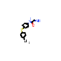 Cc1ccc(Sc2ccc(NC(=O)C=N)cc2)cc1